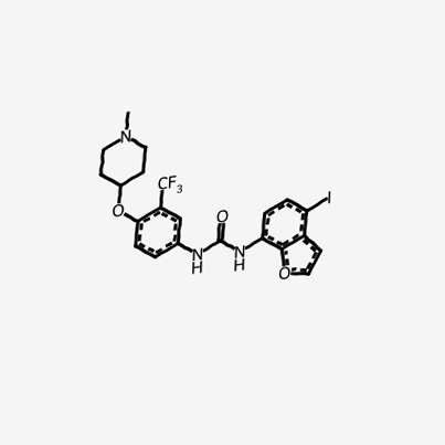 CN1CCC(Oc2ccc(NC(=O)Nc3ccc(I)c4ccoc34)cc2C(F)(F)F)CC1